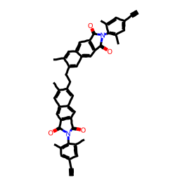 C#Cc1cc(C)c(N2C(=O)c3cc4cc(C)c(CCc5cc6cc7c(cc6cc5C)C(=O)N(c5c(C)cc(C#C)cc5C)C7=O)cc4cc3C2=O)c(C)c1